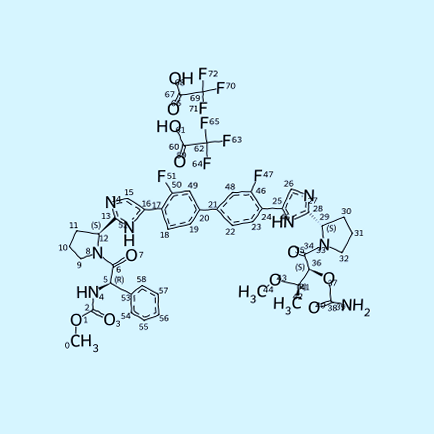 COC(=O)N[C@@H](C(=O)N1CCC[C@H]1c1ncc(-c2ccc(-c3ccc(-c4cnc([C@@H]5CCCN5C(=O)[C@@H](OC(N)=O)[C@@H](C)OC)[nH]4)c(F)c3)cc2F)[nH]1)c1ccccc1.O=C(O)C(F)(F)F.O=C(O)C(F)(F)F